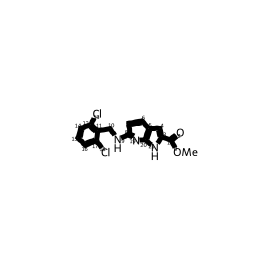 COC(=O)c1cc2ccc(NCc3c(Cl)cccc3Cl)nc2[nH]1